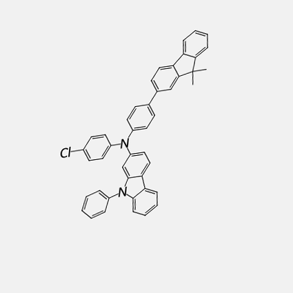 CC1(C)c2ccccc2-c2ccc(-c3ccc(N(c4ccc(Cl)cc4)c4ccc5c6ccccc6n(-c6ccccc6)c5c4)cc3)cc21